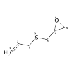 C=CCSCC1CO1